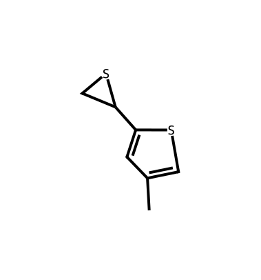 Cc1csc(C2CS2)c1